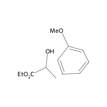 CCOC(=O)C(C)O.COc1ccccc1